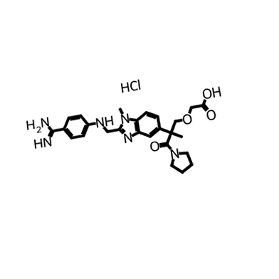 Cl.Cn1c(CNc2ccc(C(=N)N)cc2)nc2cc(C(C)(COCC(=O)O)C(=O)N3CCCC3)ccc21